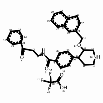 O=C(CCNC(=O)c1ccc(C2CCNCC2OCc2ccc3ccccc3c2)cc1)c1ccccc1.O=C(O)C(F)(F)F